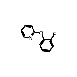 Fc1ccccc1Oc1ccc[c]n1